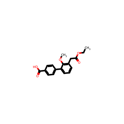 CCOC(=O)Cc1cccc(-c2ccc(C(=O)O)cc2)c1OC